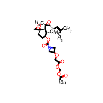 CO[C@@H]1[C@H](OC(=O)N2CC(OCC(=O)OCOC(=O)C(C)(C)C)C2)CC[C@]2(CO2)[C@H]1[C@@]1(C)O[C@@H]1CC=C(C)C